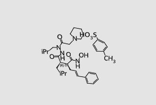 CC(C)C[C@@H](C(=O)NN(CC(C)C)C(=O)CN1CCCCC1)[C@H](CC=Cc1ccccc1)C(=O)NO.Cc1ccc(S(=O)(=O)O)cc1